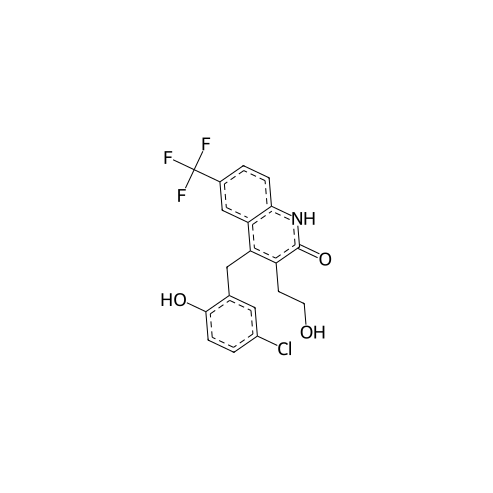 O=c1[nH]c2ccc(C(F)(F)F)cc2c(Cc2cc(Cl)ccc2O)c1CCO